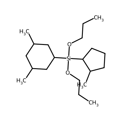 CCCO[Si](OCCC)(C1CC(C)CC(C)C1)C1CCCC1C